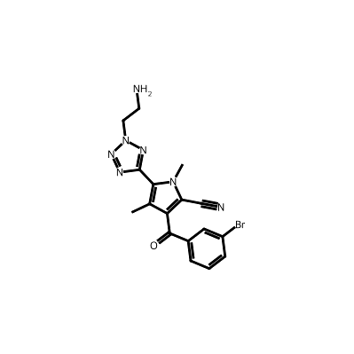 Cc1c(C(=O)c2cccc(Br)c2)c(C#N)n(C)c1-c1nnn(CCN)n1